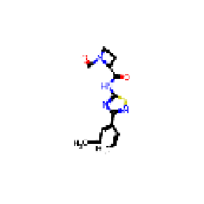 C=C/C=C(\C=C/C)c1nsc(NC(=O)[C@@H]2CCN2C=O)n1